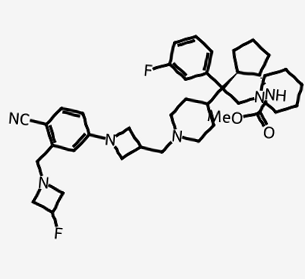 COC(=O)N[C@H]1CCC[C@@H]1C(CN1CCCCC1)(c1cccc(F)c1)C1CCN(CC2CN(c3ccc(C#N)c(CN4CC(F)C4)c3)C2)CC1